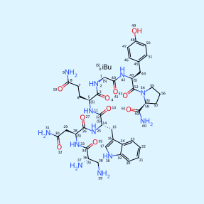 CC[C@H](C)[C@H](NC(=O)[C@H](CCC(N)=O)NC(=O)[C@H](Cc1c[nH]c2ccccc12)NC(=O)[C@H](CC(N)=O)NC(=O)[C@@H](N)CN)C(=O)N[C@@H](Cc1ccc(O)cc1)C(=O)N1CCC[C@H]1C(N)=O